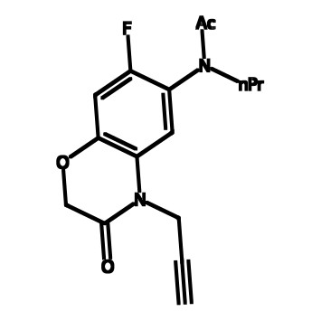 C#CCN1C(=O)COc2cc(F)c(N(CCC)C(C)=O)cc21